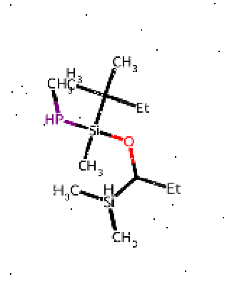 CCC(O[Si](C)(PC)C(C)(C)CC)[SiH](C)C